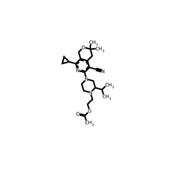 CC(=O)OCCN1CCN(c2nc(C3CC3)c3c(c2C#N)CC(C)(C)OC3)CC1C(C)C